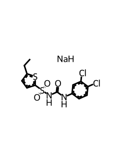 CCc1ccc(S(=O)(=O)NC(=O)Nc2ccc(Cl)c(Cl)c2)s1.[NaH]